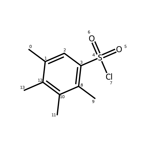 Cc1cc(S(=O)(=O)Cl)c(C)c(C)c1C